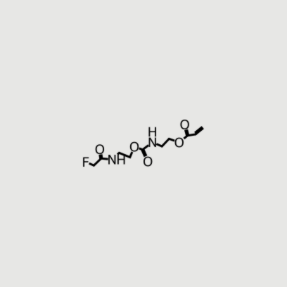 C=CC(=O)OCCNC(=O)OCCNC(=O)CF